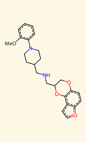 COc1ccccc1N1CCC(CNCC2COc3ccc4occc4c3O2)CC1